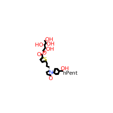 CCCCC[C@H](O)c1ccc(N2C(=O)CC[C@@H]2CCCc2ccc(C(=O)OC[C@@H](O)[C@H](O)[C@@H](O)CO)s2)cc1